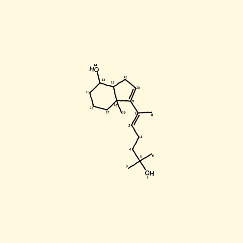 CC(=CCCC(C)(C)O)C1=CCC2C(O)CCCC12C